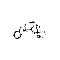 CC(C)(C)OC(=O)[AsH]C(CC#N)Cc1ccccc1